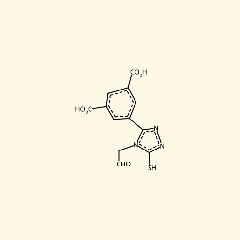 O=CCn1c(S)nnc1-c1cc(C(=O)O)cc(C(=O)O)c1